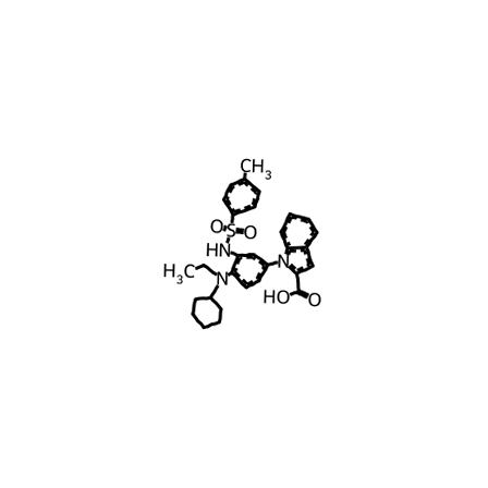 CCN(c1ccc(-n2c(C(=O)O)cc3ccccc32)cc1NS(=O)(=O)c1ccc(C)cc1)C1CCCCC1